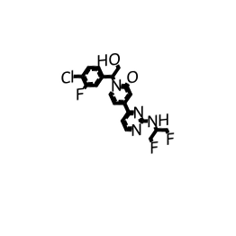 O=c1cc(-c2ccnc(NC(CF)CF)n2)ccn1C(CO)c1ccc(Cl)c(F)c1